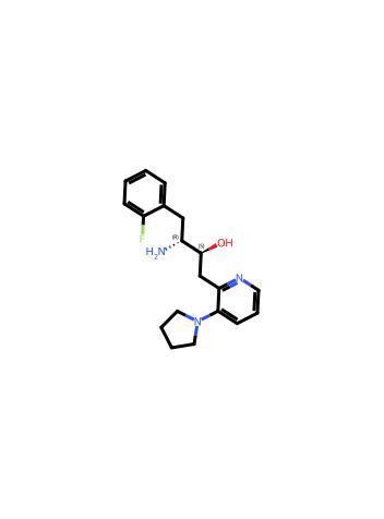 N[C@H](Cc1ccccc1F)[C@@H](O)Cc1ncccc1N1CCCC1